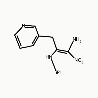 CC(C)NC(Cc1cccnc1)=C(N)[N+](=O)[O-]